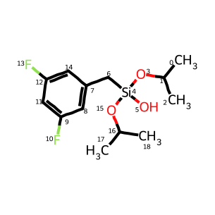 CC(C)O[Si](O)(Cc1cc(F)cc(F)c1)OC(C)C